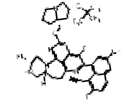 C#Cc1c(F)ccc2cc(O)cc(-c3nc4c5c(nc(OC[C@]67CCCN6C[C@H](OC(C(F)(F)F)(C(F)(F)F)C(F)(F)F)C7)nc5c3F)N3C[C@@H](CC)NC[C@H]3CC4)c12